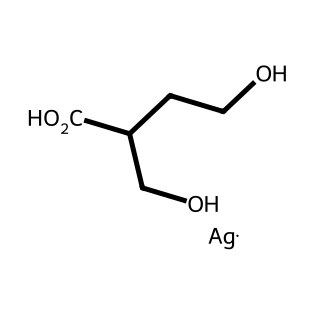 O=C(O)C(CO)CCO.[Ag]